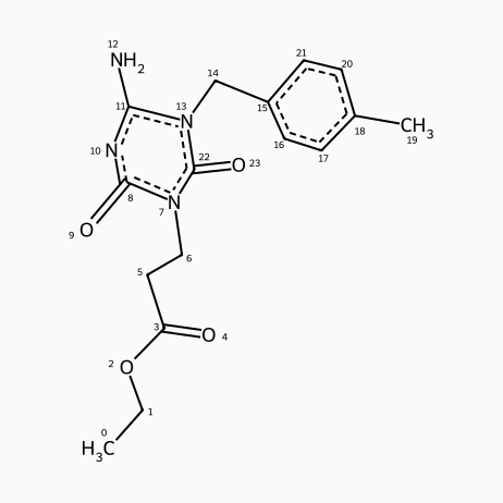 CCOC(=O)CCn1c(=O)nc(N)n(Cc2ccc(C)cc2)c1=O